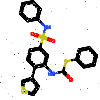 O=C(Nc1cc(S(=O)(=O)Nc2ccccc2)ccc1-c1ccsc1)Sc1ccccc1